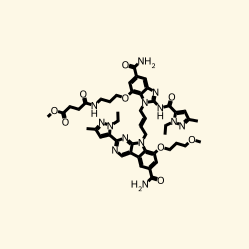 CCn1nc(C)cc1C(=O)Nc1nc2cc(C(N)=O)cc(OCCCNC(=O)CCC(=O)OC)c2n1C/C=C/Cn1c2nc(-c3cc(C)nn3CC)ncc2c2cc(C(N)=O)cc(OCCCOC)c21